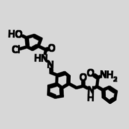 NC(=O)C(NC(=O)Cc1ccc(/C=N/NC(=O)c2ccc(O)c(Cl)c2)c2ccccc12)c1ccccc1